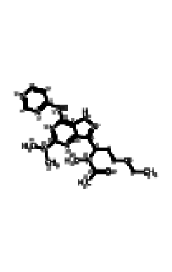 CCOCCC(c1n[nH]c2c(Nc3ccncn3)nc(N(C)C)nc12)N(C)C(C)=O